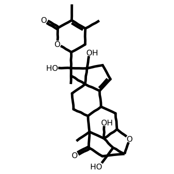 CC1=C(C)C(=O)OC(C(C)(O)C2(O)CC=C3C4CC5OC6CC(=O)C(C)(C4CCC32C)C5(O)C6O)C1